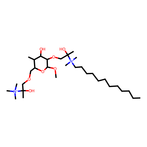 CCCCCCCCCCCC[N+](C)(C)C(C)(O)COC1C(OC)OC(COCC(C)(O)[N+](C)(C)C)C(C)C1O